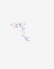 C=C/C=C\c1c(C)n(-c2ccc(-c3ccc(-n4c5ccccc5c5cc6c(cc54)oc4ccccc46)cc3)cc2)c2ccccc12